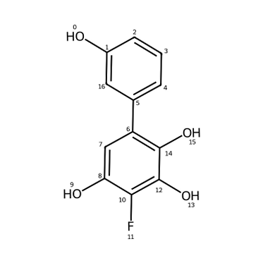 Oc1cccc(-c2cc(O)c(F)c(O)c2O)c1